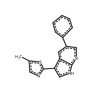 Cc1cnc(-c2c[nH]c3ncc(-c4ccccc4)cc23)s1